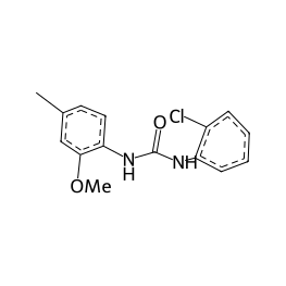 COc1cc(C)ccc1NC(=O)Nc1ccccc1Cl